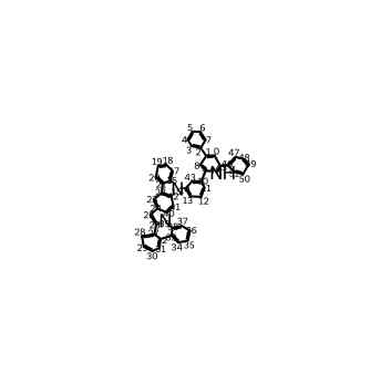 C1=C(c2ccccc2)C=C(c2cccc(-n3c4ccccc4c4cc5cc6c7ccccc7c7ccccc7n6c5cc43)c2)NC1c1ccccc1